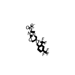 O=[N+]([O-])c1cn2c(n1)OC[C@@H](OCc1ccc(C(F)(F)F)cc1C(F)(F)F)C2